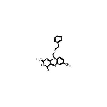 C=c1nc2c(c(=O)[nH]1)=Nc1cc(C)ccc1N2CCCCc1ccccc1